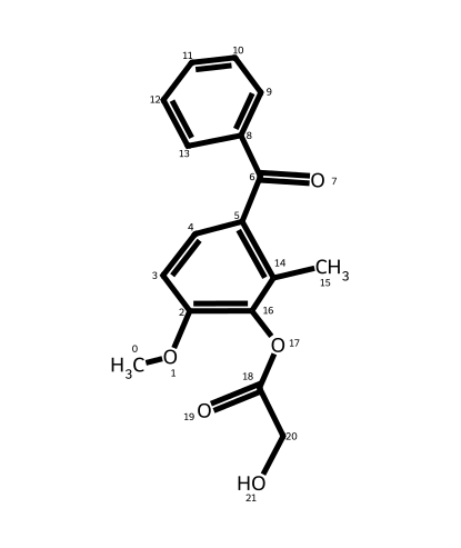 COc1ccc(C(=O)c2ccccc2)c(C)c1OC(=O)CO